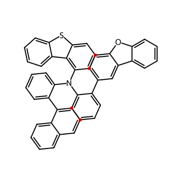 c1ccc(N(c2ccccc2-c2cccc3ccccc23)c2cccc3sc4ccccc4c23)c(-c2ccc3oc4ccccc4c3c2)c1